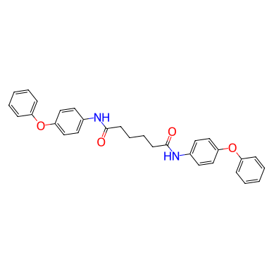 O=C(CCCCC(=O)Nc1ccc(Oc2ccccc2)cc1)Nc1ccc(Oc2ccccc2)cc1